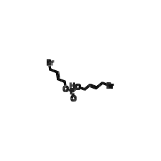 O=[PH](OCC=CCBr)OCC=CCBr